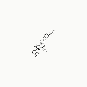 CCOC(=O)c1nc(-c2cccc(Cl)c2Cl)c(C)nc1N1CCC2(CC1)Cc1ccc(C(C)(C)OC(C)C)cc1C2